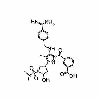 Cc1c(C2CC(O)N(S(=O)(=O)N(C)C)C2)nn(C(=O)c2cccc(C(=O)O)c2)c1NCc1ccc(C(=N)N)cc1